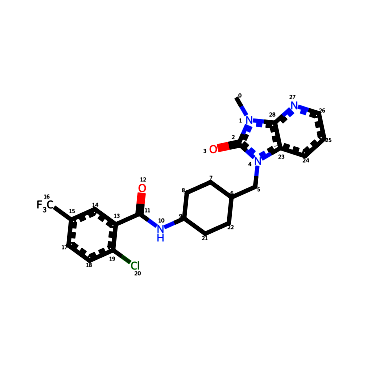 Cn1c(=O)n(CC2CCC(NC(=O)c3cc(C(F)(F)F)ccc3Cl)CC2)c2cccnc21